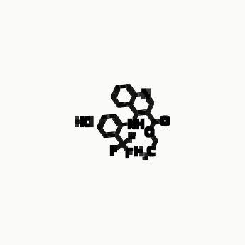 CCOC(=O)c1cnc2ccccc2c1Nc1ccccc1C(F)(F)F.Cl